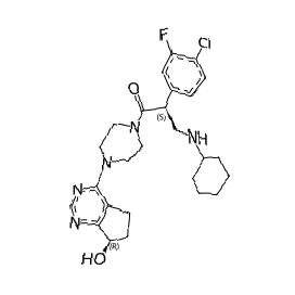 O=C([C@H](CNC1CCCCC1)c1ccc(Cl)c(F)c1)N1CCN(c2ncnc3c2CC[C@H]3O)CC1